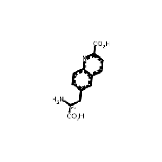 N[C@@H](Cc1ccc2nc(C(=O)O)ccc2c1)C(=O)O